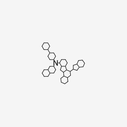 C1CCC(C2CCC(N(C3CCC4CCCCC4C3)C3CCCC4C3CC3C5CCCCC5CC(C5CC6CCCCC6C5)C34)CC2)CC1